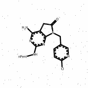 CCCCCNc1nc(N)c2c(n1)N(Cc1ccc(Cl)nc1)C(=O)C2